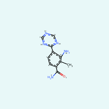 Cc1c(C(N)=O)ccc(-c2ncncn2)c1N